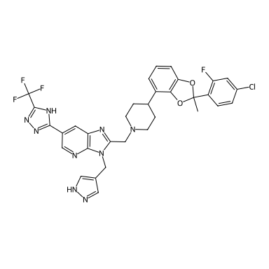 CC1(c2ccc(Cl)cc2F)Oc2cccc(C3CCN(Cc4nc5cc(-c6nnc(C(F)(F)F)[nH]6)cnc5n4Cc4cn[nH]c4)CC3)c2O1